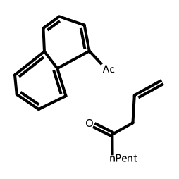 C=CCC(=O)CCCCC.CC(=O)c1cccc2ccccc12